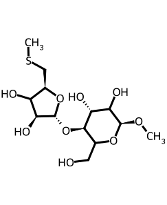 CO[C@H]1OC(CO)[C@@H](O[C@H]2O[C@H](CSC)C(O)[C@@H]2O)[C@H](O)C1O